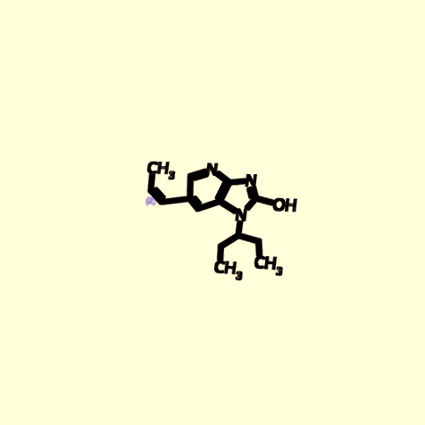 C/C=C\c1cnc2nc(O)n(C(CC)CC)c2c1